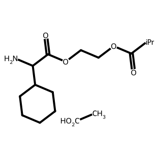 CC(=O)O.CC(C)C(=O)OCCOC(=O)C(N)C1CCCCC1